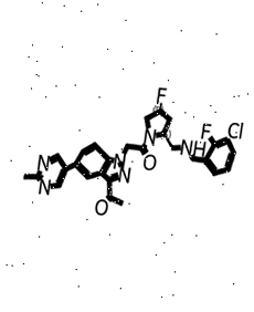 CC(=O)c1nn(CC(=O)N2C[C@H](F)C[C@H]2CNCc2cccc(Cl)c2F)c2ccc(-c3cnc(C)nc3)cc12